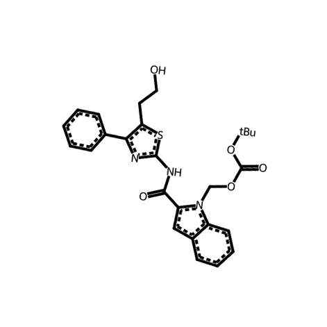 CC(C)(C)OC(=O)OCn1c(C(=O)Nc2nc(-c3ccccc3)c(CCO)s2)cc2ccccc21